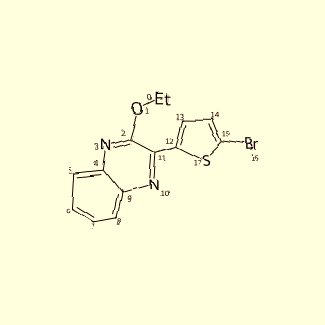 CCOc1nc2ccccc2nc1-c1ccc(Br)s1